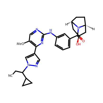 COc1cnc(Nc2cccc(C(=O)N3[C@@H]4CC[C@H]3C[C@@H](O)C4)c2)nc1-c1cnn(C(CC#N)C2CC2)c1